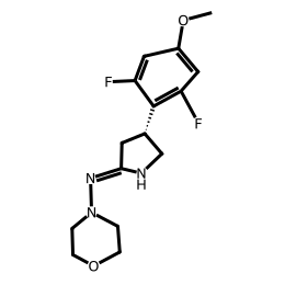 COc1cc(F)c([C@@H]2CN/C(=N\N3CCOCC3)C2)c(F)c1